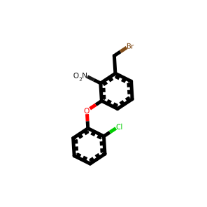 O=[N+]([O-])c1c(CBr)cccc1Oc1ccccc1Cl